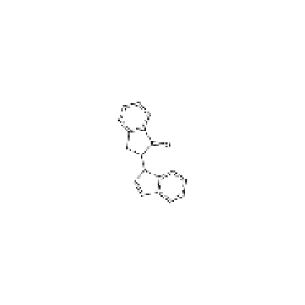 O=C1c2ccccc2CC1C1C=Cc2ccccc21